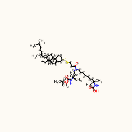 CC(C)CCC[C@@H](C)[C@H]1CC[C@H]2[C@@H]3CC=C4C[C@@H](SSCCC(=O)N(CCCCCCCC(C)(C)NC(=O)O)CCC(C)(C)NC(=O)OC(C)(C)C)CC[C@]4(C)[C@H]3CC[C@]12C